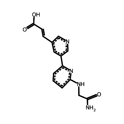 NC(=O)CNc1cccc(-c2cncc(C=CC(=O)O)c2)n1